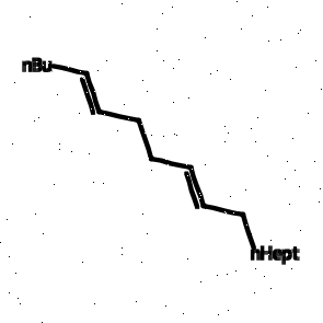 [CH2]CCC/C=C/CC/C=C/CCCCCCCC